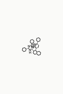 N=C(/C=C\C(=N)c1c(C2N=C(c3ccccc3)N=C(c3ccccc3)N2)ccc2ccccc12)c1ccccc1